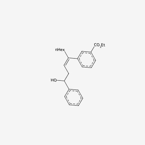 CCCCCC/C(=C/CC(O)c1ccccc1)c1cccc(C(=O)OCC)c1